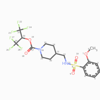 COc1ccccc1S(=O)(=O)NCC1CCN(C(=O)OC(C(F)(F)F)C(F)(F)F)CC1